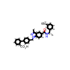 Cc1nn(Cc2ccc(-c3ccccc3C(=O)O)cc2)c2ccc(C(=O)N[C@@H](C)c3cccc(C(C)(C)C)c3)cc12